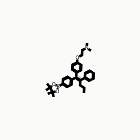 CCC/C(=C(/c1ccc(OCCN(C)C)cc1)c1ccc(B2OC(C)(C)C(C)(C)O2)cc1)c1ccccc1